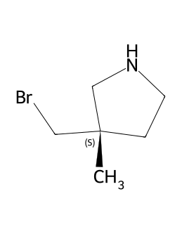 C[C@]1(CBr)CCNC1